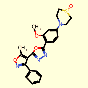 COc1cc(N2CC[S+]([O-])CC2)ccc1-c1nnc(-c2c(-c3ccccc3)noc2C)o1